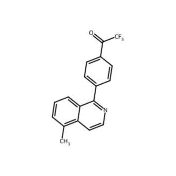 Cc1cccc2c(-c3ccc(C(=O)C(F)(F)F)cc3)nccc12